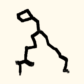 CCCCCCN(CCOC(=O)NI)CC1CCC1